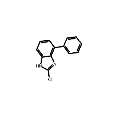 Clc1nc2c(-c3ccccc3)cccc2[nH]1